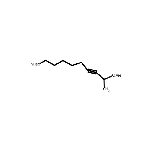 [CH2]CCCCCCCCCCC#CC(C)OC